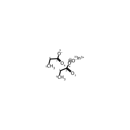 CCC(=O)[O-].CCC(=O)[O-].[In+3].[OH-]